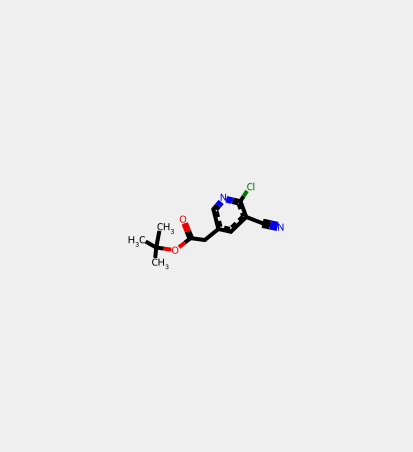 CC(C)(C)OC(=O)Cc1cnc(Cl)c(C#N)c1